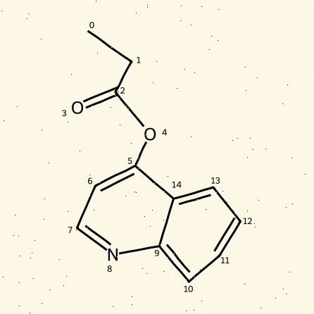 CCC(=O)Oc1ccnc2ccccc12